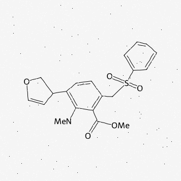 CNc1c(C2C=COC2)ccc(CS(=O)(=O)c2ccccc2)c1C(=O)OC